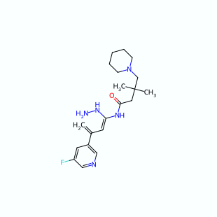 C=C(/C=C(\NN)NC(=O)CC(C)(C)CN1CCCCC1)c1cncc(F)c1